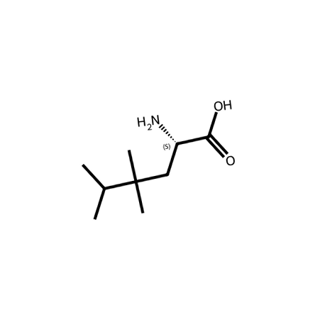 CC(C)C(C)(C)C[C@H](N)C(=O)O